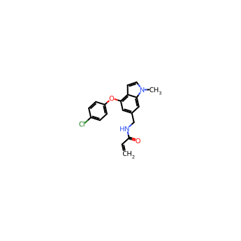 C=CC(=O)NCc1cc(Oc2ccc(Cl)cc2)c2ccn(C)c2c1